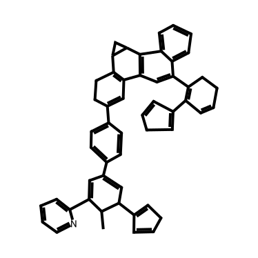 CC1C(c2ccccn2)=CC(c2ccc(C3=CC4=C(CC3)C3CC3c3c4cc(C4=C(C5=CCC=C5)C=CCC4)c4ccccc34)cc2)=CC1C1=CCC=C1